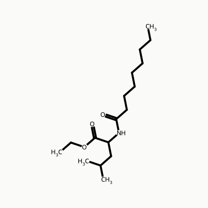 CCCCCCCCC(=O)NC(CC(C)C)C(=O)OCC